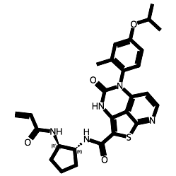 C=CC(=O)N[C@@H]1CCC[C@H]1NC(=O)c1sc2nccc3c2c1NC(=O)N3c1ccc(OC(C)C)cc1C